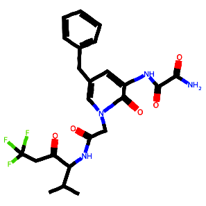 CC(C)C(NC(=O)Cn1cc(Cc2ccccc2)cc(NC(=O)C(N)=O)c1=O)C(=O)CC(F)(F)F